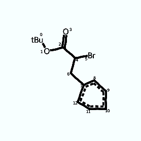 CC(C)(C)OC(=O)C(Br)Cc1ccccc1